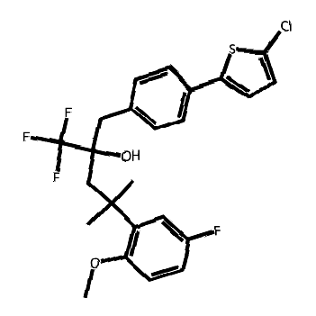 COc1ccc(F)cc1C(C)(C)CC(O)(Cc1ccc(-c2ccc(Cl)s2)cc1)C(F)(F)F